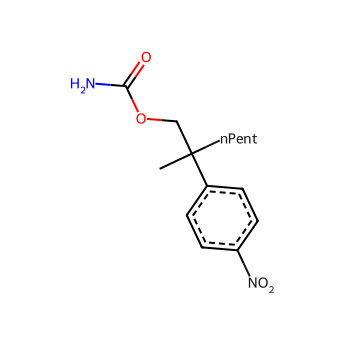 CCCCCC(C)(COC(N)=O)c1ccc([N+](=O)[O-])cc1